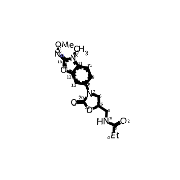 CCC(=O)NCC1CN(c2ccc3c(c2)o/c(=N/OC)n3C)C(=O)O1